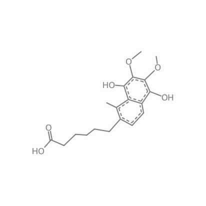 COc1c(OC)c(O)c2c(C)c(CCCCCC(=O)O)ccc2c1O